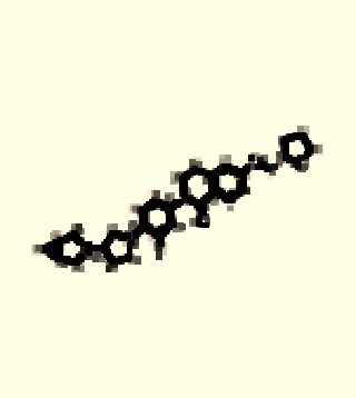 O=C1c2ccc(OC[C@@H]3CCCO3)cc2CCN1c1ccc(N2CCC(N3CC4CC4C3)C2)c(F)c1